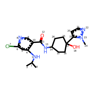 CC(C)Nc1cc(Cl)ncc1C(=O)NC1CCC(O)(c2ccnn2C)CC1